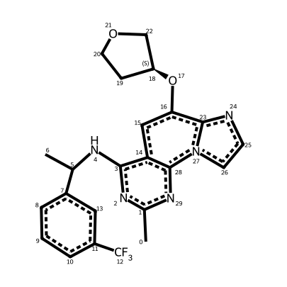 Cc1nc(NC(C)c2cccc(C(F)(F)F)c2)c2cc(O[C@H]3CCOC3)c3nccn3c2n1